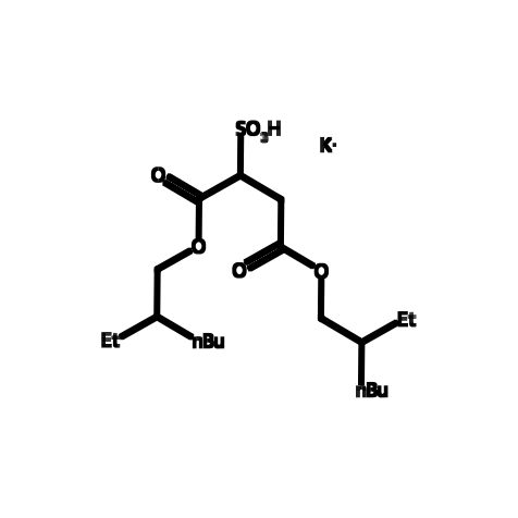 CCCCC(CC)COC(=O)CC(C(=O)OCC(CC)CCCC)S(=O)(=O)O.[K]